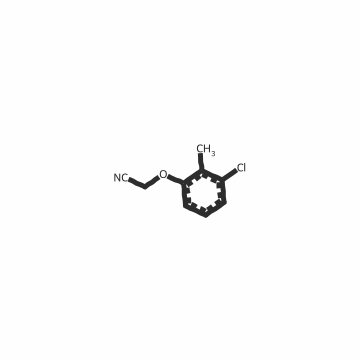 Cc1c(Cl)cccc1OCC#N